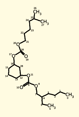 CCCCC(CC)COC(=O)OC1CCCC(OC(=O)OCCCCC(C)C)C1